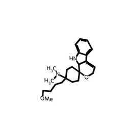 COCCCCC1(N(C)C)CCC2(CC1)OCC=C1c3ccccc3NC12